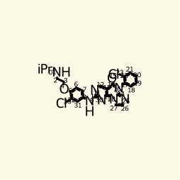 CC(C)NCCOc1ccc(Nc2ncc3c(=O)n(-c4ccccc4Cl)c4nccn4c3n2)cc1Cl